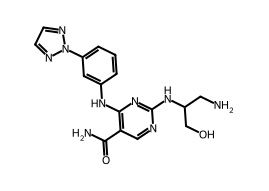 NCC(CO)Nc1ncc(C(N)=O)c(Nc2cccc(-n3nccn3)c2)n1